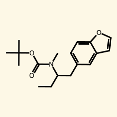 CCC(Cc1ccc2occc2c1)N(C)C(=O)OC(C)(C)C